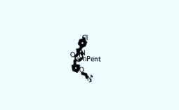 CCCCCC1CN(Cc2cccc(OCCCN(C)C)c2)C(=O)c2cc(-c3ccc(Cl)cc3)nn21